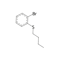 CCCCSc1ccccc1Br